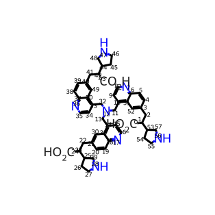 O=C(O)C(Cc1ccc2nccc(CN(Cc3ccnc4ccc(CC(C(=O)O)C5CCNC5)cc34)Cc3ccnc4ccc(CC(C(=O)O)C5CCNC5)cc34)c2c1)C1CCNC1